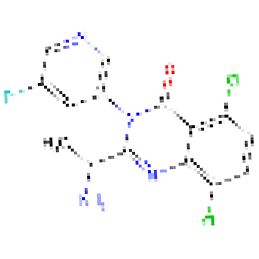 CC(N)c1nc2c(Cl)ccc(Cl)c2c(=O)n1-c1cncc(F)c1